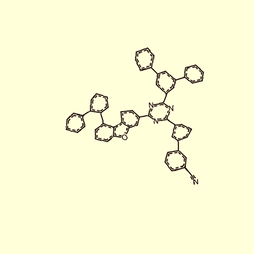 N#Cc1cccc(-c2cccc(-c3nc(-c4cc(-c5ccccc5)cc(-c5ccccc5)c4)nc(-c4ccc5c(c4)oc4cccc(-c6ccccc6-c6ccccc6)c45)n3)c2)c1